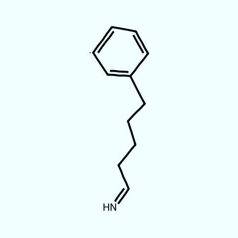 N=CCCCCc1c[c]ccc1